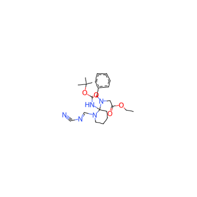 CCOC(=O)CN(Cc1ccccc1)C1(NC(=O)OC(C)(C)C)CCCCN1C=NC#N